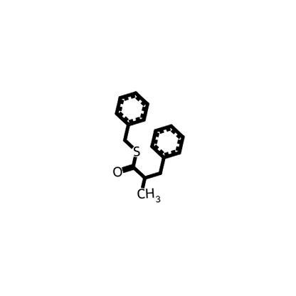 CC(Cc1ccccc1)C(=O)SCc1ccccc1